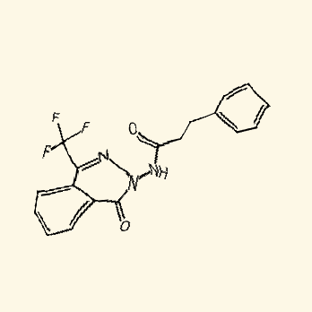 O=C(CCc1ccccc1)Nn1nc(C(F)(F)F)c2ccccc2c1=O